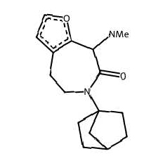 CNC1C(=O)N(C23CCC(CC2)C3)CCc2ccoc21